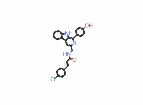 O=C(/C=C/c1ccc(Cl)cc1)NCc1cc2c([nH]c3ccccc32)c(-c2ccc(O)cc2)n1